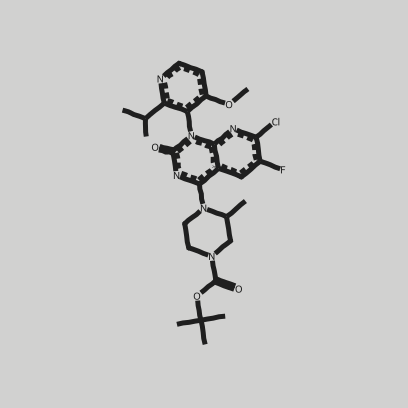 COc1ccnc(C(C)C)c1-n1c(=O)nc(N2CCN(C(=O)OC(C)(C)C)CC2C)c2cc(F)c(Cl)nc21